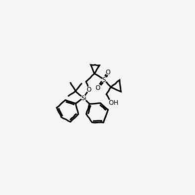 CC(C)(C)[Si](OCC1(S(=O)(=O)C2(CO)CC2)CC1)(c1ccccc1)c1ccccc1